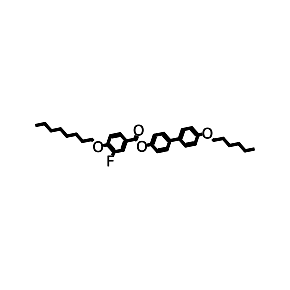 CCCCCCCCOc1ccc(C(=O)Oc2ccc(-c3ccc(OCCCCCC)cc3)cc2)cc1F